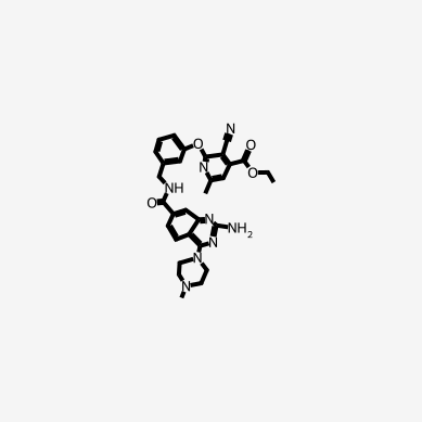 CCOC(=O)c1cc(C)nc(Oc2cccc(CNC(=O)c3ccc4c(N5CCN(C)CC5)nc(N)nc4c3)c2)c1C#N